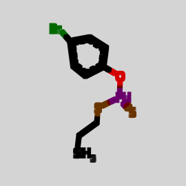 [SiH3]CCS[PH](=S)Oc1ccc(Br)cc1